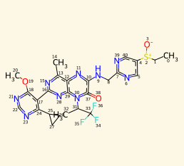 CC[S+]([O-])c1cnc(CNc2nc3c(C)nc(-c4c(OC)ncnc4C4CC4)nc3n(C(C)C(F)(F)F)c2=O)nc1